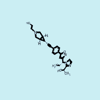 C[C@H](O)c1nccn1[C@H](CN)c1cc(-c2ccc(C#C[C@@H]3[C@H]4CN(CCO)C[C@@H]34)cc2)on1